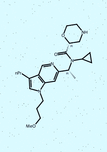 CCCc1cn(CCCOC)c2cc([C@@H](C)N(C(=O)[C@H]3CNCCO3)C3CC3)ncc12